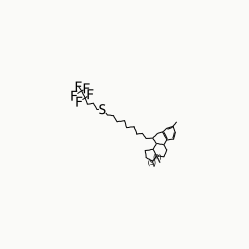 Cc1ccc2c(c1)CC(CCCCCCCCCSCCCC(F)(F)C(F)(F)F)C1C2CC[C@@]2(C)C1CC[C@@H]2C